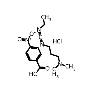 CCN=C=NCCCN(C)C.Cl.O=C(O)c1ccc([N+](=O)[O-])cc1